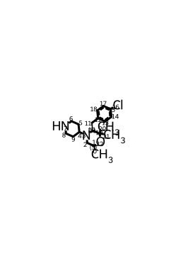 C[C@H]1CN(C2CCNCC2)[C@@H](Cc2ccc(Cl)cc2)C(C)(C)O1